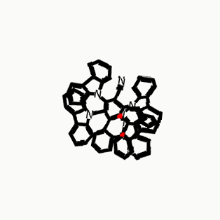 N#Cc1c(-n2c3ccccc3c3ccccc32)c(-n2c3ccccc3c3ccccc32)c(-c2ccccc2-n2c3ncccc3c3cccnc32)c(-n2c3ccccc3c3ccccc32)c1-n1c2ccccc2c2ccccc21